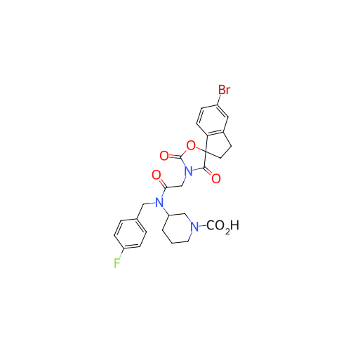 O=C(O)N1CCCC(N(Cc2ccc(F)cc2)C(=O)CN2C(=O)OC3(CCc4cc(Br)ccc43)C2=O)C1